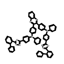 c1ccc(-c2ccccc2-c2nnc(-c3ccc(N(c4ccccc4)c4ccc(-c5nc6ccccc6nc5-c5ccc(N(c6ccccc6)c6ccc(-c7nnc(-c8ccccc8-c8ccccc8)o7)cc6)cc5)cc4)cc3)o2)cc1